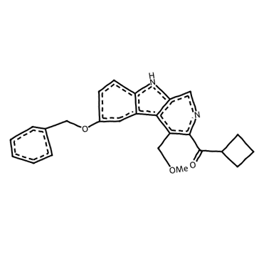 COCc1c(C(=O)C2CCC2)ncc2[nH]c3ccc(OCc4ccccc4)cc3c12